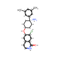 Cc1cc(C)cc([C@]2(N)CC[C@H](Oc3cc4cc[nH]c(=O)c4cc3Cl)CC2)c1